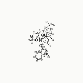 CC1=C[C@]23C(=O)[C@@H](C=C4COC(C)(C)O[C@H]4[C@]2(O)[C@H]1Oc1nn(C)c2ccccc12)C1C(C[C@H]3C)C1(C)C